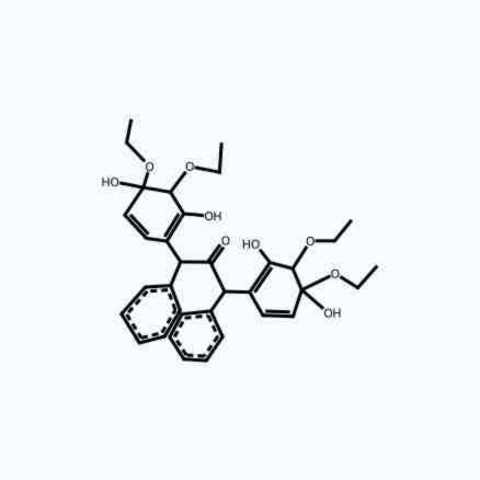 CCOC1C(O)=C(C(C(=O)C(C2=C(O)C(OCC)C(O)(OCC)C=C2)c2ccccc2)c2ccccc2)C=CC1(O)OCC